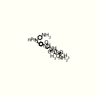 CCCN(Cc1ccc(-n2ccc(NC(=O)N3CCN(C(=O)C(C)(C)N)CC3)nc2=O)cc1)C1CCC(N)CC1